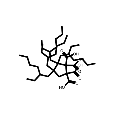 CCCCC(CC)CC1(CC(CC)CCCC)CC(C(=O)O)(C(=O)O)C(C(=O)O)(C(=O)O)C1(CC(CC)CCCC)CC(CC)CCCC